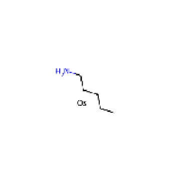 CCCCCN.[Os]